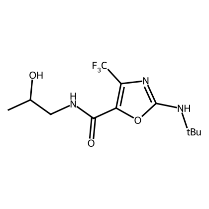 CC(O)CNC(=O)c1oc(NC(C)(C)C)nc1C(F)(F)F